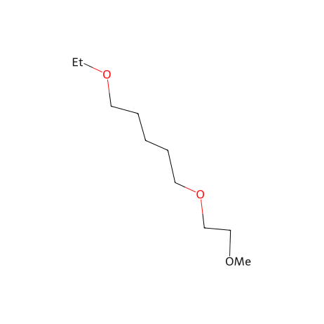 CCOCCCCCOCCOC